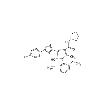 CCc1cccc(CC)c1N1C(C)=C(C(=O)NC2CCCC2)C=C(c2nc(-c3ccc(Cl)cc3)cs2)C1O